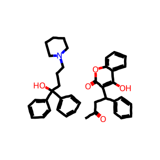 CC(=O)CC(c1ccccc1)c1c(O)c2ccccc2oc1=O.OC(CCCN1CCCCC1)(c1ccccc1)c1ccccc1